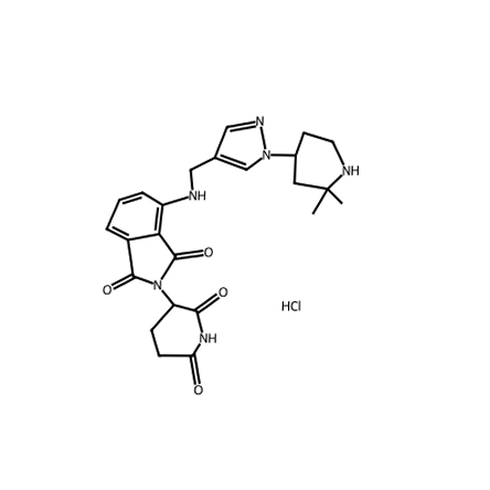 CC1(C)CC(n2cc(CNc3cccc4c3C(=O)N(C3CCC(=O)NC3=O)C4=O)cn2)CCN1.Cl